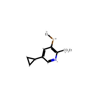 CCOC(=O)c1ncc(C2CC2)cc1SCC